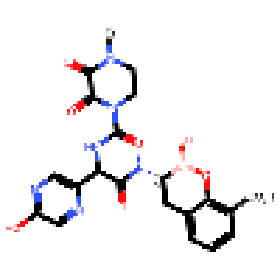 CCN1CCN(C(=O)NC(C(=O)N[C@H]2Cc3cccc(C(=O)O)c3OB2O)c2cnc(O)cn2)C(=O)C1=O